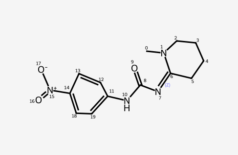 CN1CCCC/C1=N/C(=O)Nc1ccc([N+](=O)[O-])cc1